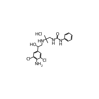 CC(C)(CNC(=O)Nc1ccccc1)NCC(O)c1cc(Cl)c(N)c(Cl)c1.Cl